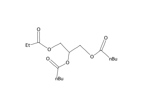 CCCCC(=O)OCC(COC(=O)CC)OC(=O)CCCC